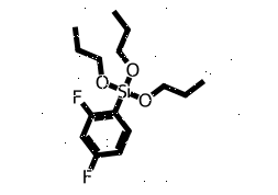 CCCO[Si](OCCC)(OCCC)c1ccc(F)cc1F